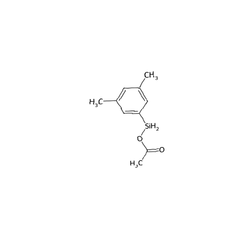 CC(=O)O[SiH2]c1cc(C)cc(C)c1